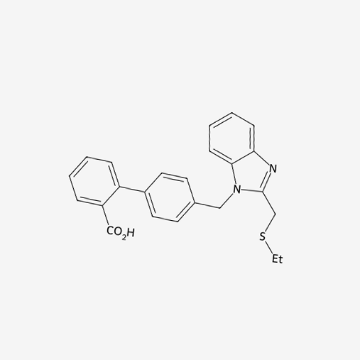 CCSCc1nc2ccccc2n1Cc1ccc(-c2ccccc2C(=O)O)cc1